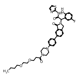 CCCCOCCOCCC(=O)N1CCN(c2ccc(-c3ccc4c(c3)C(=O)N(C(C(=O)Nc3nccs3)c3cc(F)ccc3O)C4)cc2)CC1